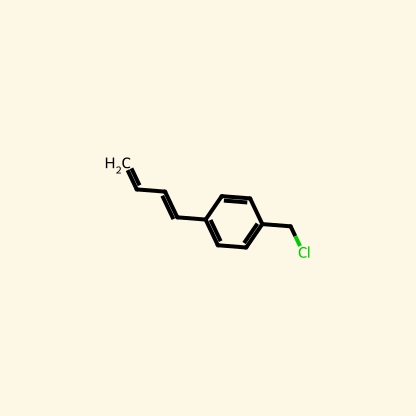 C=CC=Cc1ccc(CCl)cc1